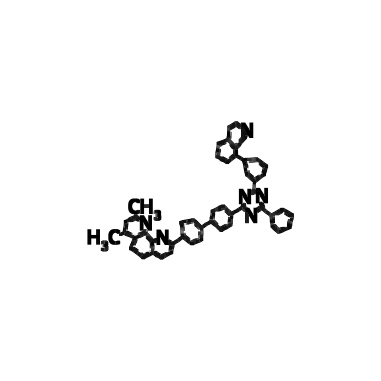 Cc1cc(C)c2ccc3ccc(-c4ccc(-c5ccc(-c6nc(-c7ccccc7)nc(-c7cccc(-c8cccc9ccncc89)c7)n6)cc5)cc4)nc3c2n1